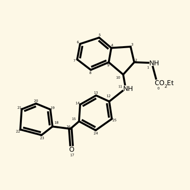 CCOC(=O)NC1Cc2ccccc2C1Nc1ccc(C(=O)c2ccccc2)cc1